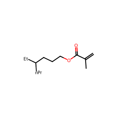 C=C(C)C(=O)OCCCC(CC)CCC